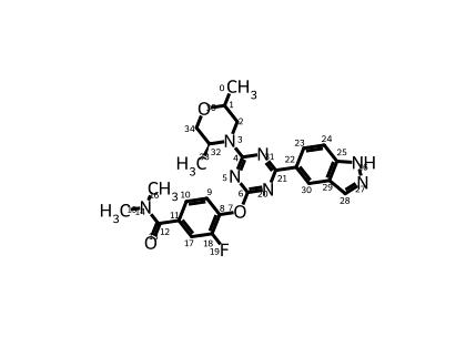 CC1CN(c2nc(Oc3ccc(C(=O)N(C)C)cc3F)nc(-c3ccc4[nH]ncc4c3)n2)[C@@H](C)CO1